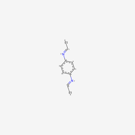 CCC=Nc1ccc(N=CCC)cc1